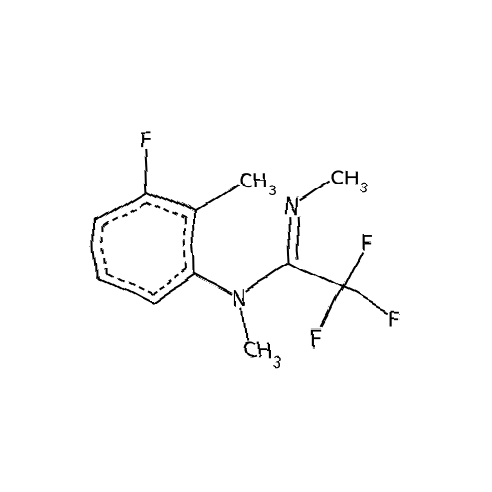 C/N=C(/N(C)c1cccc(F)c1C)C(F)(F)F